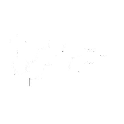 Cc1cc2c(cc1C(=O)N1CCc3cc(C(F)(F)F)cnc31)[nH]c(=O)c1nnc(C3CCC3)n12